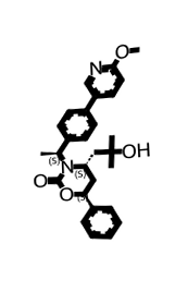 COc1ccc(-c2ccc([C@H](C)N3C(=O)O[C@H](c4ccccc4)C[C@H]3CC(C)(C)O)cc2)cn1